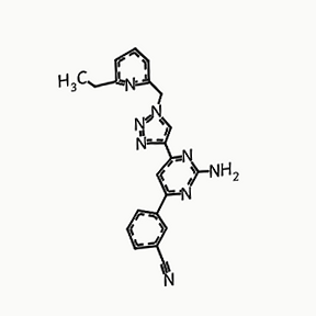 CCc1cccc(Cn2cc(-c3cc(-c4cccc(C#N)c4)nc(N)n3)nn2)n1